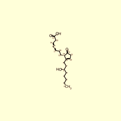 CCCCC[C@@H](O)CCC1=CCC(=O)[C@@H]1CCC=C=CCC(=O)O